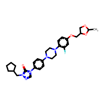 CC1OCC(COc2ccc(N3CCN(c4ccc(-n5cnn(CC6CCCC6)c5=O)cc4)CC3)c(F)c2)O1